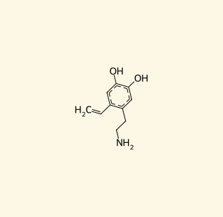 C=Cc1cc(O)c(O)cc1CCN